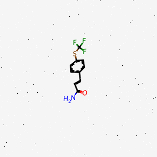 NC(=O)/C=C/c1ccc(SC(F)(F)F)cc1